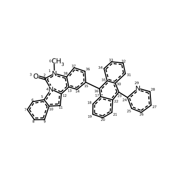 Cn1c(=O)n2c3ccccc3cc2c2cc(-c3c4ccccc4c(-c4ccccn4)c4ccccc34)ccc21